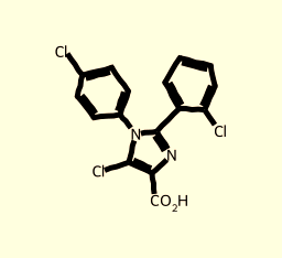 O=C(O)c1nc(-c2ccccc2Cl)n(-c2ccc(Cl)cc2)c1Cl